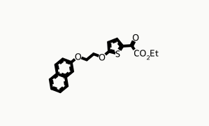 CCOC(=O)C(=O)c1ccc(OCCOc2ccc3ccccc3c2)s1